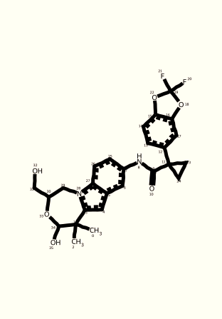 CC1(C)c2cc3cc(NC(=O)C4(c5ccc6c(c5)OC(F)(F)O6)CC4)ccc3n2CC(CO)OC1O